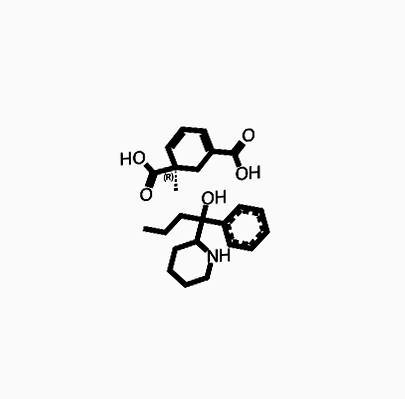 CCCC(O)(c1ccccc1)C1CCCCN1.C[C@]1(C(=O)O)C=CC=C(C(=O)O)C1